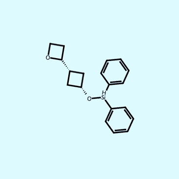 c1ccc([SiH](O[C@H]2C[C@@H](C3CCO3)C2)c2ccccc2)cc1